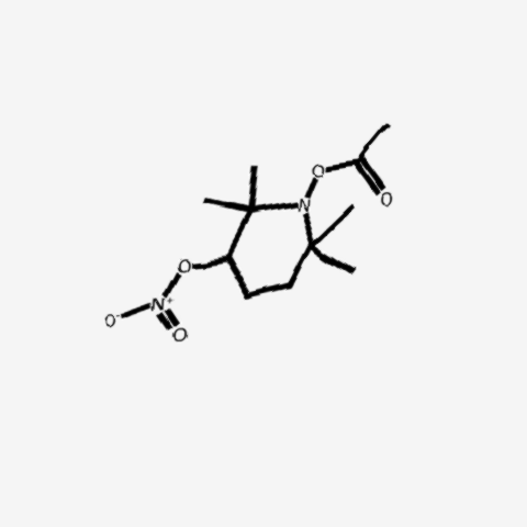 CC(=O)ON1C(C)(C)CCC(O[N+](=O)[O-])C1(C)C